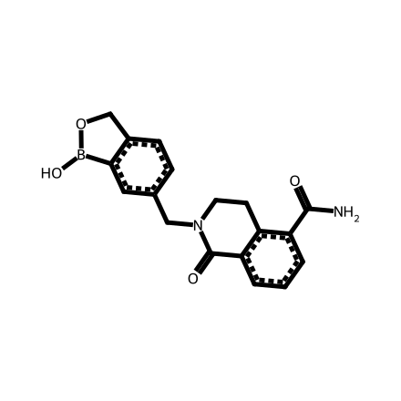 NC(=O)c1cccc2c1CCN(Cc1ccc3c(c1)B(O)OC3)C2=O